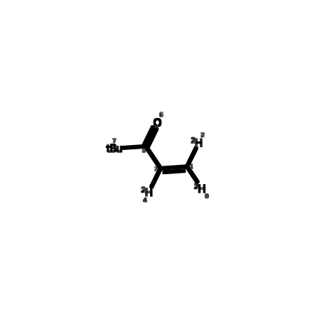 [2H]C([2H])=C([2H])C(=O)C(C)(C)C